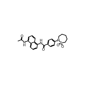 CC(=O)Nc1cccc2c(NC(=O)c3ccc(N4CCCCCS4(=O)=O)cc3)cccc12